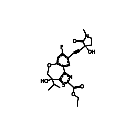 CCOC(=O)c1nc2c(s1)C(O)(C(C)C)COc1cc(F)c(C#C[C@]3(O)CCN(C)C3=O)cc1-2